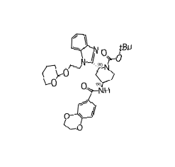 CC(C)(C)OC(=O)N1CC[C@@H](NC(=O)c2ccc3c(c2)OCCO3)C[C@@H]1c1nc2ccccc2n1CCOC1CCCCO1